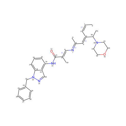 C\C=C/C(=C\C(C)=N\C=C(/C)C(=O)Nc1cccc2c1cnn2Cc1ccccc1)C(C)N1CCOCC1